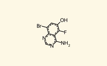 Nc1ncnc2c(Br)cc(O)c(F)c12